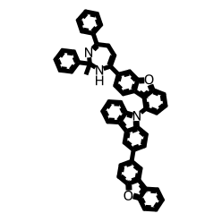 CC1(c2ccccc2)N=C(c2ccccc2)CC=C(c2ccc3c(c2)oc2cccc(-n4c5ccccc5c5cc(-c6ccc7oc8ccccc8c7c6)ccc54)c23)N1